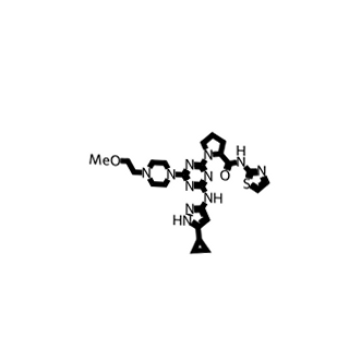 COCCN1CCN(c2nc(Nc3cc(C4CC4)[nH]n3)nc(N3CCCC3C(=O)Nc3nccs3)n2)CC1